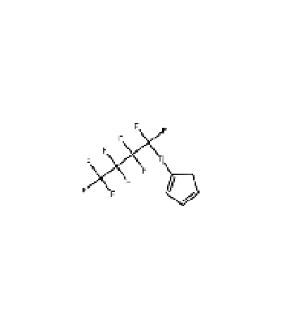 FC(F)(F)C(F)(F)C(F)(F)[C](F)(F)[Tl][C]1=CC=CC1